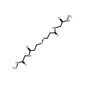 NNC(=O)CNC(=O)CCSSCCC(=O)NCC(=O)NN